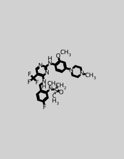 C=S(C)(=O)N(C)c1cc(F)ccc1CNc1nc(Nc2ccc(N3CCN(C)CC3)cc2OC)ncc1C(F)(F)F